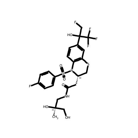 C[C@@](O)(CO)CNC(=O)C[C@H]1CSc2cc(C(O)(CF)C(F)(F)F)ccc2N1S(=O)(=O)c1ccc(F)cc1